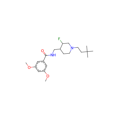 COc1cc(OC)cc(C(=O)NCC2CCN(CCC(C)(C)C)CC2F)c1